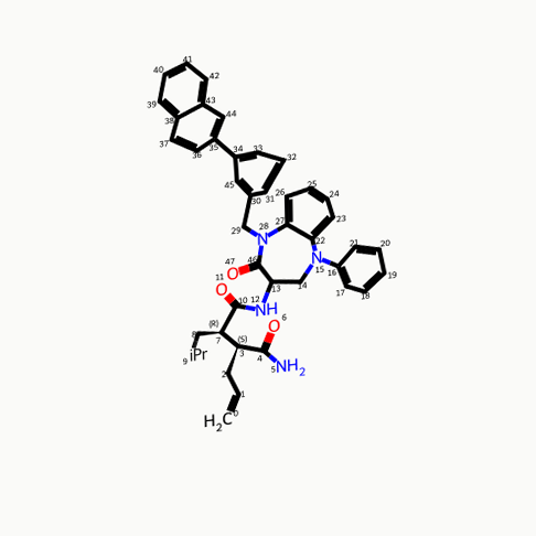 C=CC[C@H](C(N)=O)[C@@H](CC(C)C)C(=O)NC1CN(c2ccccc2)c2ccccc2N(Cc2cccc(-c3ccc4ccccc4c3)c2)C1=O